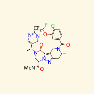 CNC(=O)[C@@H]1CN([C@@H](C)c2cnc(C(F)(F)F)nc2)C(=O)c2c3c(nn21)C[C@@H](C)N(C(=O)c1ccc(Cl)c(OC(F)F)c1)C3